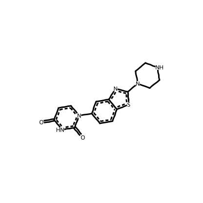 O=c1ccn(-c2ccc3sc(N4CCNCC4)nc3c2)c(=O)[nH]1